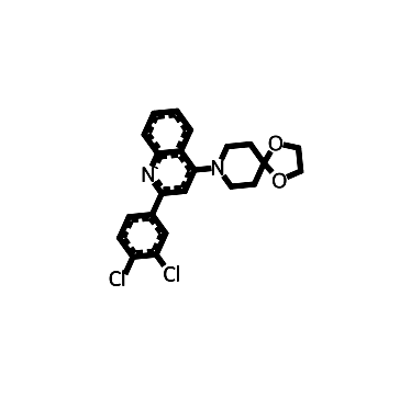 Clc1ccc(-c2cc(N3CCC4(CC3)OCCO4)c3ccccc3n2)cc1Cl